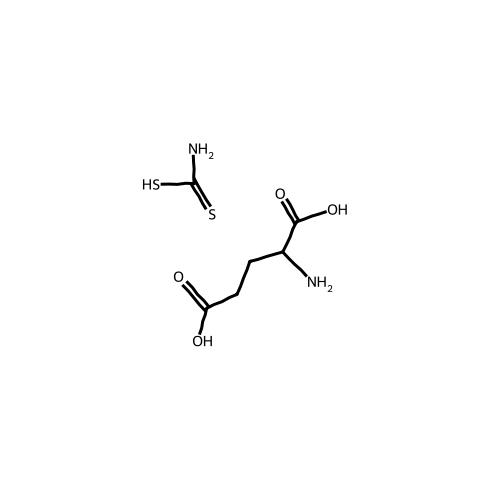 NC(=S)S.NC(CCC(=O)O)C(=O)O